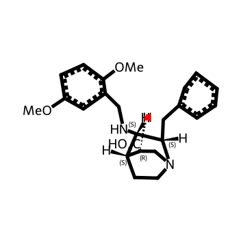 COc1ccc(OC)c(CN[C@H]2[C@H]3CCN(C[C@@H]3C(=O)O)[C@H]2Cc2ccccc2)c1